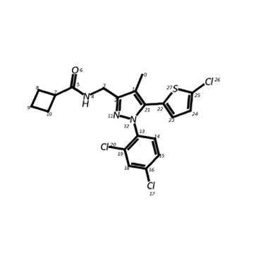 Cc1c(CNC(=O)C2CCC2)nn(-c2ccc(Cl)cc2Cl)c1-c1ccc(Cl)s1